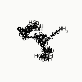 COc1cc2c(cc1OCCCCCOc1cc3c(cc1OC)C(=O)N1CC4(CC4)C[C@H]1[C@H](O)N3C(=O)OCc1ccc(NC(=O)[C@H](CO[C@@H]3O[C@H](C(=O)O)[C@@H](O)[C@H](O)[C@H]3O)NC(=O)[C@@H](NC(C)=O)C(C)C)cc1NC(=O)CCOCCOCCOCCOCCN)N(C(=O)OCc1ccc(O[C@@H]3O[C@H](C(=O)O)[C@@H](O)[C@H](O)[C@H]3O)c([N+](=O)[O-])c1)[C@@H](O)[C@@H]1Cc3ccccc3CN1C2=O